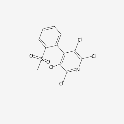 CS(=O)(=O)c1ccccc1-c1c(Cl)c(Cl)nc(Cl)c1Cl